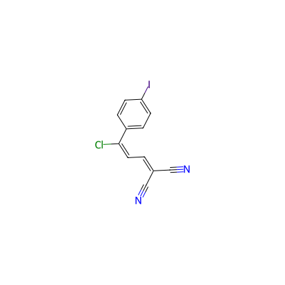 N#CC(C#N)=C/C=C(/Cl)c1ccc(I)cc1